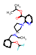 CCN(Cc1ccccc1OC(F)F)[C@@H]1CCN(c2ncccc2C(=O)OC(C)C)C1